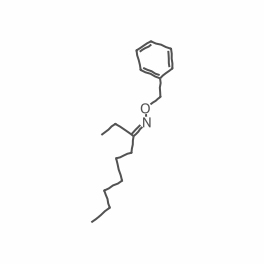 CCCCCC/C(CC)=N/OCc1ccccc1